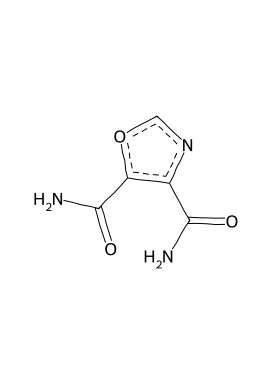 NC(=O)c1ncoc1C(N)=O